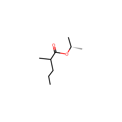 [CH2][C@@H](C)OC(=O)C(C)CCC